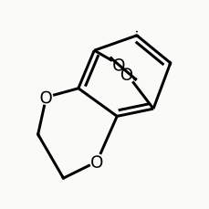 [c]1cc2c3c(c1OCCO2)OCCO3